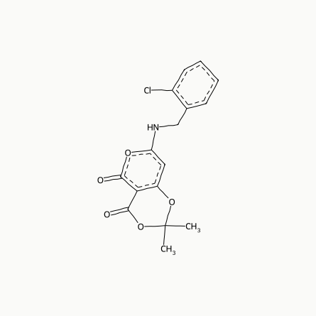 CC1(C)OC(=O)c2c(cc(NCc3ccccc3Cl)oc2=O)O1